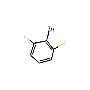 Fc1cccc(F)[c]1[Zn]